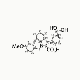 COc1ccc(Cn2c(C(=O)O)c(-c3cccc(C(O)O)c3)c3ccccc32)cc1